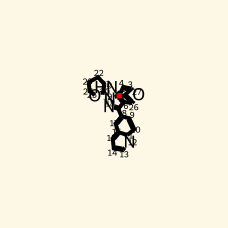 N=Cc1c2cc3c(c(-c4ccc5ncccc5c4)nn3C3CCCCO3)c1o2